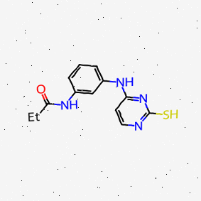 CCC(=O)Nc1cccc(Nc2ccnc(S)n2)c1